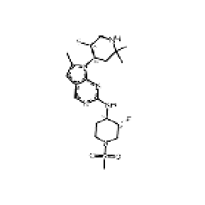 Cc1cc2cnc(N[C@@H]3CCN(S(C)(=O)=O)C[C@H]3F)nc2n1[C@@H]1CC(C)(C)NC[C@@H]1F